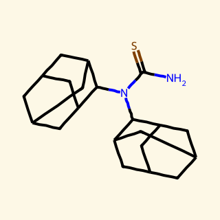 NC(=S)N(C1C2CC3CC(C2)CC1C3)C1C2CC3CC(C2)CC1C3